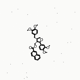 COc1ccc(C[C@H]2COC(c3ccc(OC)c(OC)c3)[C@H]2COC(=O)c2ccc3ccccc3c2)cc1OC